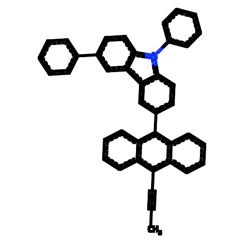 CC#Cc1c2ccccc2c(-c2ccc3c(c2)c2cc(-c4ccccc4)ccc2n3-c2ccccc2)c2ccccc12